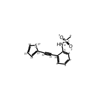 CS(=O)(=O)Nc1ccccc1C#Cc1cccs1